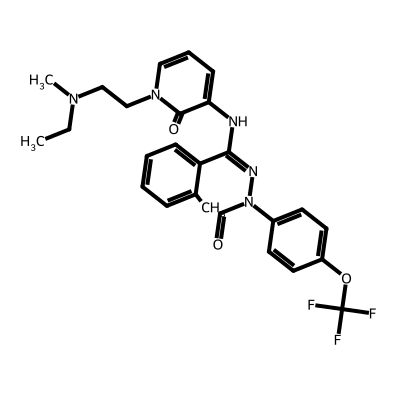 CCN(C)CCn1cccc(N/C(=N/N(C=O)c2ccc(OC(F)(F)F)cc2)c2ccccc2C)c1=O